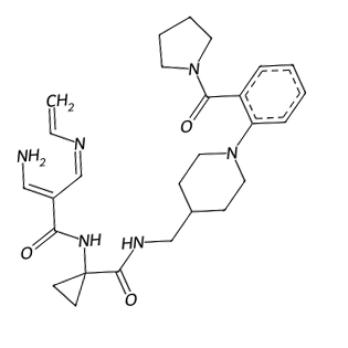 C=C/N=C\C(=C/N)C(=O)NC1(C(=O)NCC2CCN(c3ccccc3C(=O)N3CCCC3)CC2)CC1